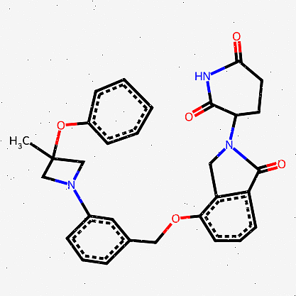 CC1(Oc2ccccc2)CN(c2cccc(COc3cccc4c3CN(C3CCC(=O)NC3=O)C4=O)c2)C1